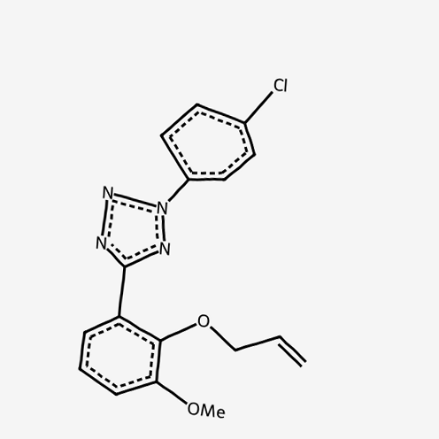 C=CCOc1c(OC)cccc1-c1nnn(-c2ccc(Cl)cc2)n1